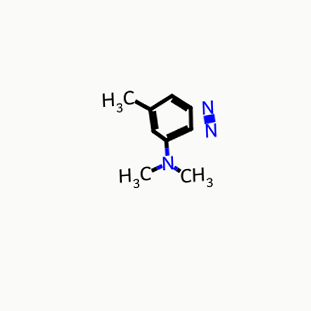 Cc1cccc(N(C)C)c1.N#N